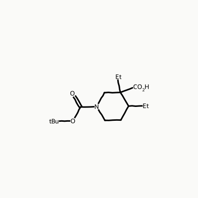 CCC1CCN(C(=O)OC(C)(C)C)CC1(CC)C(=O)O